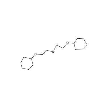 C1CCC(OCC[N]CCOC2CCCCC2)CC1